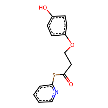 O=C(CCOc1ccc(O)cc1)Sc1ccccn1